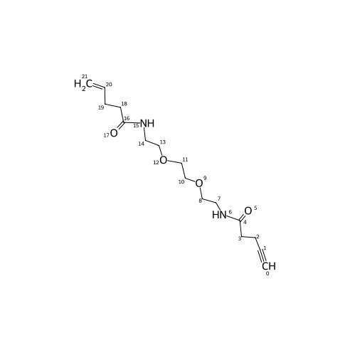 C#CCCC(=O)NCCOCCOCCNC(=O)CCC=C